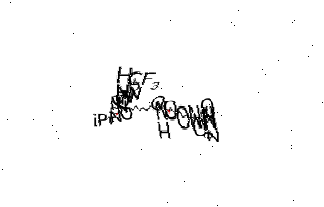 CC(C)N(C)[C@@H]1CC[C@H](N2CC[C@H](Nc3ncnc4ccc(C(F)(F)F)cc34)C2=O)[C@H](NC(=O)CCCCCCCCC(=O)NCCOCCOCCNC(=O)[C@H]2CC(=O)N(C)[C@@H]2c2cccnc2)C1